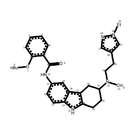 CCCCOc1ccccc1C(=O)Nc1ccc2[nH]c3c(c2c1)CC(N(C)CCc1cnn(CC)c1)CC3